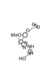 COc1cc(OCCCS(C)(=O)=O)ccc1-c1c(C)sc2cnc(Nc3cnn(CCO)c3)nc12